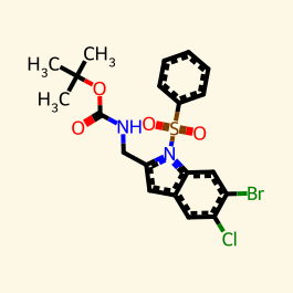 CC(C)(C)OC(=O)NCc1cc2cc(Cl)c(Br)cc2n1S(=O)(=O)c1ccccc1